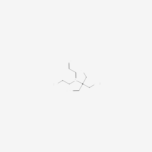 O[CH]C([CH]O)(CO)N(CCO)CCO